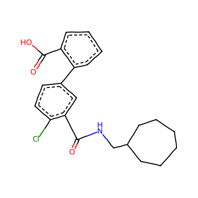 O=C(NCC1CCCCCC1)c1cc(-c2ccccc2C(=O)O)ccc1Cl